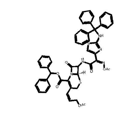 CC(=O)OC/C=C\C1=C(C(=O)OC(c2ccccc2)c2ccccc2)N2C(=O)C(NC(=O)/C(=N\OC(C)=O)c3csc(NC(c4ccccc4)(c4ccccc4)c4ccccc4)n3)[C@H]2SC1